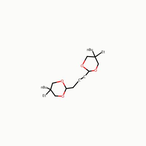 CCCCC1(CC)COC(CCCC2OCC(CC)(CCCC)CO2)OC1